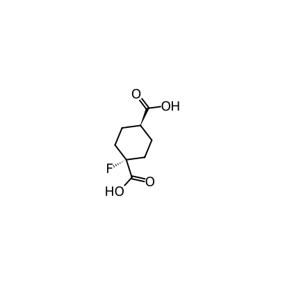 O=C(O)[C@H]1CC[C@@](F)(C(=O)O)CC1